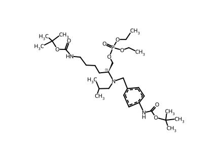 CCOP(=O)(OCC)OC[C@H](CCCCNC(=O)OC(C)(C)C)N(Cc1ccc(NC(=O)OC(C)(C)C)cc1)CC(C)C